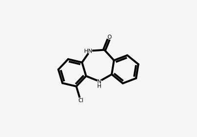 O=C1Nc2cccc(Cl)c2Nc2ccccc21